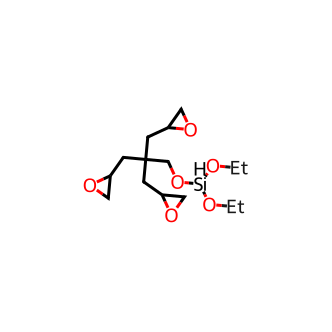 CCO[SiH](OCC)OCC(CC1CO1)(CC1CO1)CC1CO1